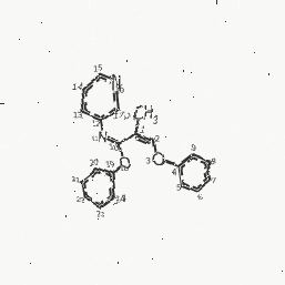 CC(=COc1ccccc1)C(=Nc1cccnc1)Oc1ccccc1